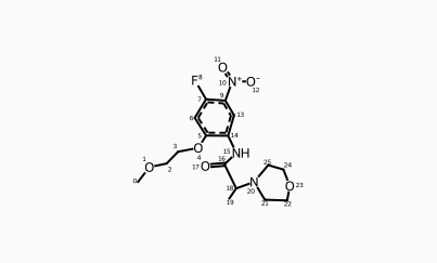 COCCOc1cc(F)c([N+](=O)[O-])cc1NC(=O)C(C)N1CCOCC1